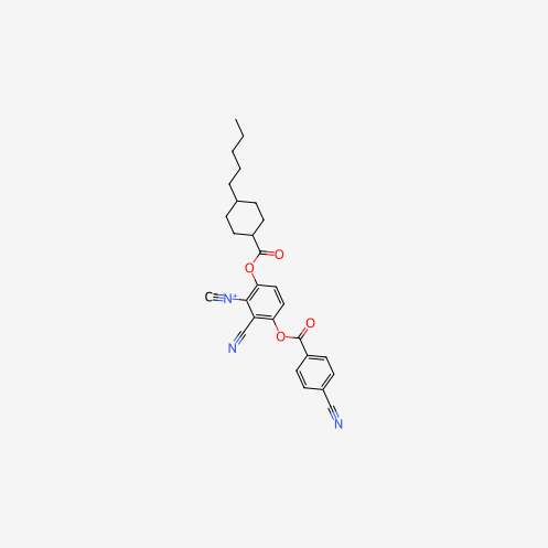 [C-]#[N+]c1c(OC(=O)C2CCC(CCCCC)CC2)ccc(OC(=O)c2ccc(C#N)cc2)c1C#N